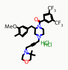 COc1cc(CC2CN(CC#CCN3CCOCC3(C)C)CCN2C(=O)c2cc(C(F)(F)F)cc(C(F)(F)F)c2)ccc1C.Cl.Cl